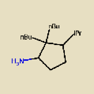 CCCCC1(CCCC)C(N)CCC1C(C)C